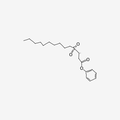 CCCCCCCCCCS(=O)(=O)[CH]CC(=O)Oc1ccccc1